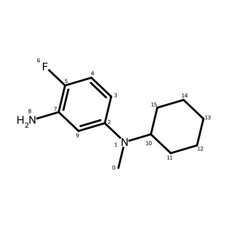 CN(c1ccc(F)c(N)c1)C1CCCCC1